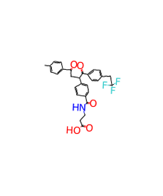 Cc1ccc(C(=O)CC(C(=O)c2ccc(CC(F)(F)F)cc2)c2ccc(C(=O)NCCC(=O)O)cc2)cc1